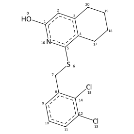 Oc1cc2c(c(SCc3cccc(Cl)c3Cl)n1)CCCC2